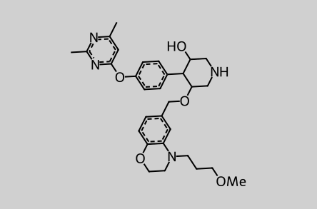 COCCCN1CCOc2ccc(COC3CNCC(O)C3c3ccc(Oc4cc(C)nc(C)n4)cc3)cc21